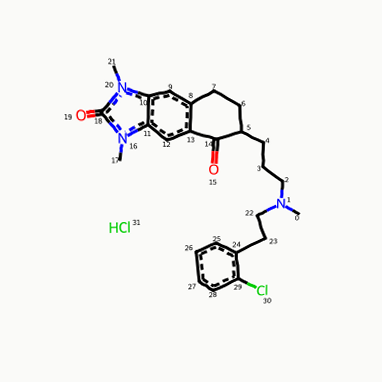 CN(CCCC1CCc2cc3c(cc2C1=O)n(C)c(=O)n3C)CCc1ccccc1Cl.Cl